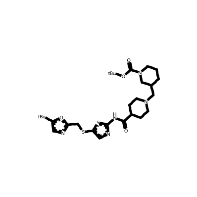 CC(C)(C)OC(=O)N1CCCC(CN2CCC(C(=O)Nc3ncc(SCc4ncc(C(C)(C)C)o4)s3)CC2)C1